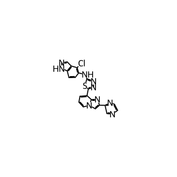 Clc1c(Nc2nnc(-c3cccn4cc(-c5cnccn5)nc34)s2)ccc2[nH]ncc12